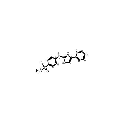 NS(=O)(=O)c1ccc(Nc2nc(-c3ccccn3)cs2)cc1